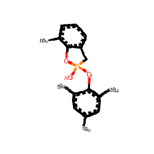 CC(C)(C)c1cc(C(C)(C)C)c(O[P]2(O)Cc3cccc(C(C)(C)C)c3O2)c(C(C)(C)C)c1